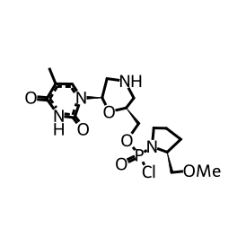 COC[C@@H]1CCCN1P(=O)(Cl)OC[C@@H]1CNC[C@H](n2cc(C)c(=O)[nH]c2=O)O1